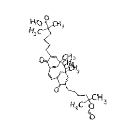 CC1(C)C=C(/C=C\C2=CC(C)(C)C=C(CCCCC(C)(C)C(=O)O)C2=O)C(=O)C(CCCCC(C)(C)OC=O)=C1